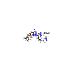 COCCNc1cc(N(C)C(C)CN(C)C)ccc1C(=O)Nc1n[nH]c2ccc(S(=O)(=O)c3cc(F)cc(F)c3)cc12